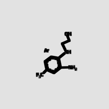 Nc1cc(C(F)(F)F)ccc1NCCO.[Ar]